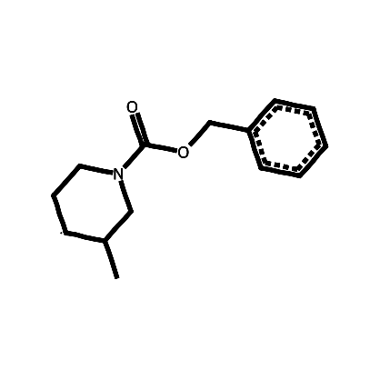 CC1[CH]CCN(C(=O)OCc2ccccc2)C1